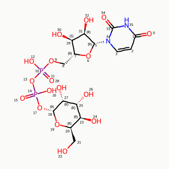 O=c1ccn([C@@H]2O[C@H](COP(=O)(O)OP(=O)(O)O[C@H]3O[C@H](CO)[C@H](O)[C@@H](O)[C@H]3O)[C@@H](O)[C@H]2O)c(=O)[nH]1